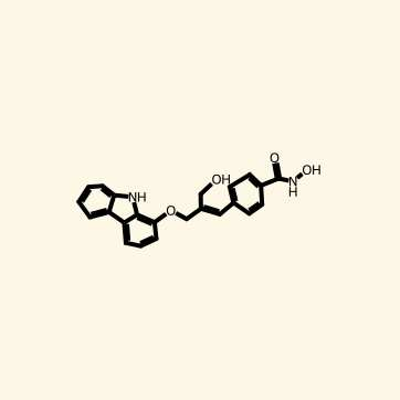 O=C(NO)c1ccc(C=C(CO)COc2cccc3c2[nH]c2ccccc23)cc1